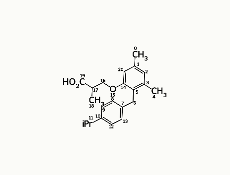 Cc1cc(C)c(Cc2ccc(C(C)C)cc2)c(OCC(C)C(=O)O)c1